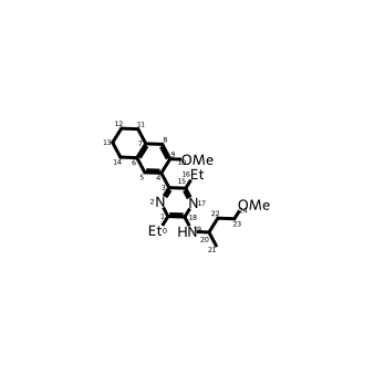 CCc1nc(-c2cc3c(cc2OC)CCCC3)c(CC)nc1NC(C)CCOC